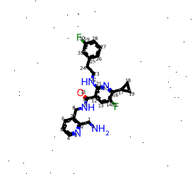 NCc1ncccc1CNC(=O)c1cc(F)c(C2CC2)nc1NCCc1cccc(F)c1